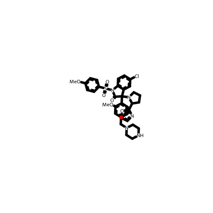 COc1ccc(S(=O)(=O)N2C(=O)C(c3ccc(CN4CCNCC4)cc3OC)(N3CCCC3c3ncco3)c3cc(Cl)ccc32)cc1